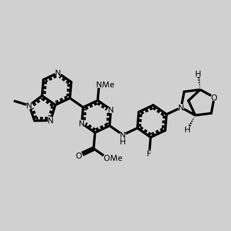 CNc1nc(Nc2ccc(N3C[C@@H]4C[C@H]3CO4)cc2F)c(C(=O)OC)nc1-c1cncc2c1ncn2C